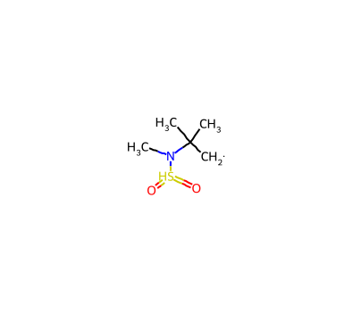 [CH2]C(C)(C)N(C)[SH](=O)=O